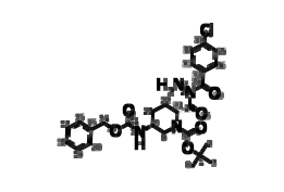 CC(C)(C)OC(=O)N1C[C@@H](NC(=O)OCc2ccccc2)CC[C@@H]1C(=O)N(N)C(=O)c1ccc(Cl)cc1